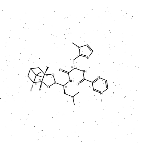 CC(C)C[C@H](NC(=O)[C@H](Cc1nccn1C)NC(=O)c1cnccn1)B1O[C@@H]2[C@H]3CC(C[C@]2(C)O1)C3(C)C